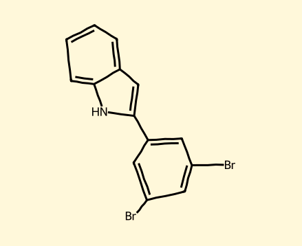 Brc1cc(Br)cc(-c2cc3ccccc3[nH]2)c1